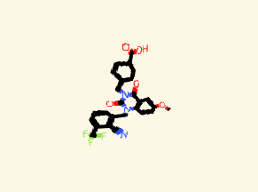 COc1ccc2c(c1)c(=O)n(CC1CCC(C(=O)O)CC1)c(=O)n2Cc1cccc(C(F)(F)F)c1C#N